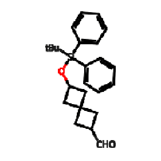 CC(C)(C)[Si](OC1CC2(CC(C=O)C2)C1)(c1ccccc1)c1ccccc1